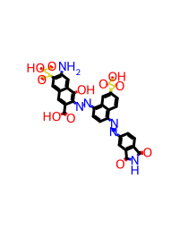 Nc1cc2c(O)c(/N=N/c3ccc(/N=N/c4ccc5c(c4)C(=O)NC5=O)c4ccc(S(=O)(=O)O)cc34)c(C(=O)O)cc2cc1S(=O)(=O)O